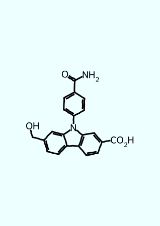 NC(=O)c1ccc(-n2c3cc(CO)ccc3c3ccc(C(=O)O)cc32)cc1